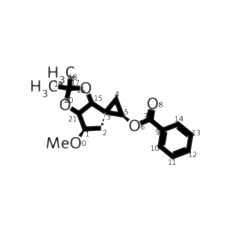 CO[C@@H]1C[C@@]2(C[C@H]2OC(=O)c2ccccc2)C2OC(C)(C)OC21